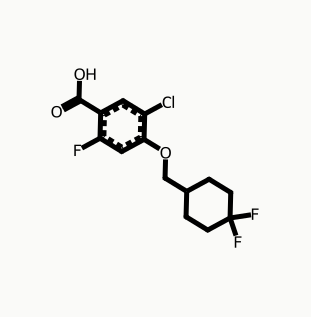 O=C(O)c1cc(Cl)c(OCC2CCC(F)(F)CC2)cc1F